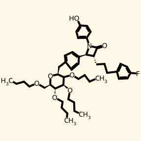 CCCCOC[C@H]1O[C@@H](Cc2ccc([C@@H]3[C@@H](CCCc4ccc(F)cc4)C(=O)N3c3ccc(O)cc3)cc2)C(OCCCC)[C@@H](OCCCC)[C@@H]1OCCCC